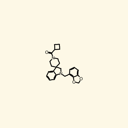 O=C(C1CCC1)N1CCC2(CC1)CN(Cc1cccc3c1OCO3)c1ccccc12